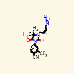 CC1(C)C(=O)N(c2ccc(C#N)c(C(F)(F)F)c2)C(=O)N1C/C=C\CN=[N+]=[N-]